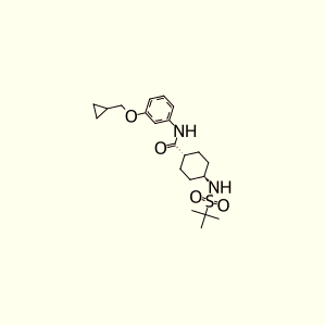 CC(C)(C)S(=O)(=O)N[C@H]1CC[C@H](C(=O)Nc2cccc(OCC3CC3)c2)CC1